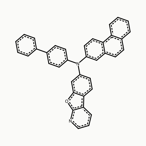 c1ccc(-c2ccc(N(c3ccc4c(ccc5ccccc54)c3)c3ccc4c(c3)oc3ncccc34)cc2)cc1